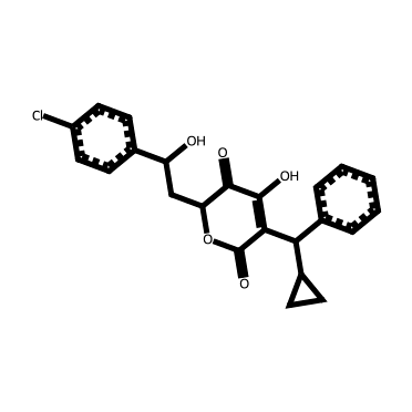 O=C1OC(CC(O)c2ccc(Cl)cc2)C(=O)C(O)=C1C(c1ccccc1)C1CC1